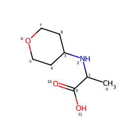 CC(NC1CCOCC1)C(=O)O